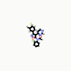 CC(=O)N(c1ccccc1F)c1onc(-c2ccc(F)c(C)c2)c1-c1ccncn1